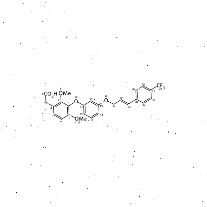 COc1ccc(CC(=O)O)c(OC)c1Oc1cccc(OCC=Cc2ccc(C(F)(F)F)cc2)c1